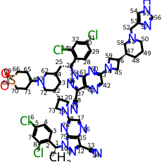 C[C@H](c1ccc(Cl)cc1Cl)n1nc(C#N)c2ncc(N3CC([C@H]4CC(C[C@H](c5ccc(Cl)cc5Cl)n5nc(C#N)c6ncc(N7CC([C@@H]8CCCN(Cc9c[nH]cn9)C8)C7)nc65)CN(C5CCS(=O)(=O)CC5)C4)C3)nc21